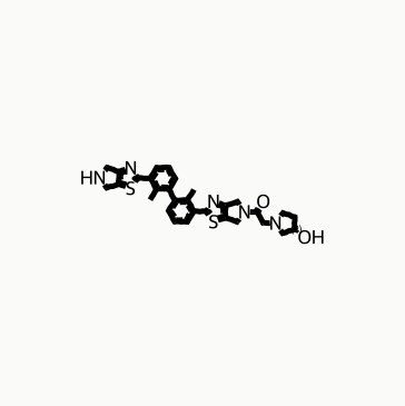 Cc1c(-c2nc3c(s2)CNC3)cccc1-c1cccc(-c2nc3c(s2)CN(C(=O)CN2CC[C@@H](O)C2)C3)c1C